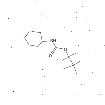 CC(C)(C)C(C)(C)OC(=O)NC1CCCCC1